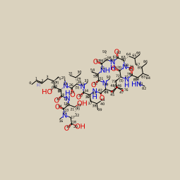 C/C=C/C[C@@H](C)[C@@H](O)[C@@H](C(=O)N[C@H](C(=O)N(C)CC(=O)O)[C@@H](C)O)N(C)C(=O)[C@H](C(C)C)N(C)C(=O)[C@H](CC(C)C)NC(=O)[C@H](CC(C)C)N(C)C(=O)[C@@H](C)NC(=O)[C@H](C)NC(=O)[C@H](CC(C)C)N(C)C(=O)[C@H](CC(C)C)NC(=O)[C@@H](NC)C(C)CC